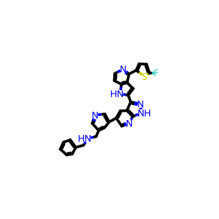 Fc1ccc(-c2nccc3[nH]c(-c4n[nH]c5ncc(-c6cncc(CNCc7ccccc7)c6)cc45)cc23)s1